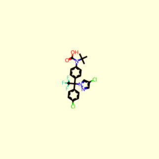 CC(C)(C)N(C(=O)O)c1ccc(C(c2ccc(Cl)cc2)(n2cc(Cl)cn2)C(F)(F)F)cc1